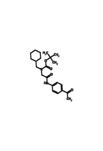 CC(=O)c1ccc(NC(=O)CN(CC2CCCCC2)C(=O)OC(C)(C)C)cc1